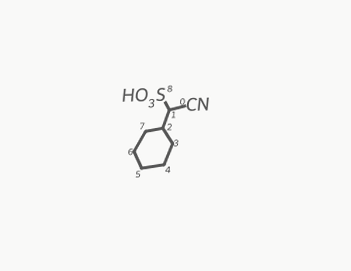 N#CC(C1CCCCC1)S(=O)(=O)O